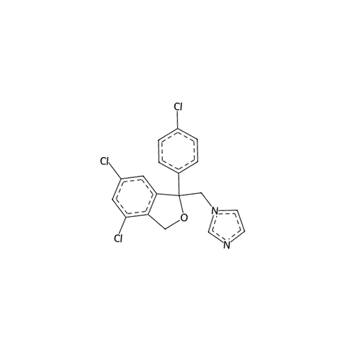 Clc1ccc(C2(Cn3ccnc3)OCc3c(Cl)cc(Cl)cc32)cc1